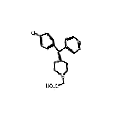 O=C(O)CN1CCC(=C(c2ccccc2)c2ccc(Cl)cc2)CC1